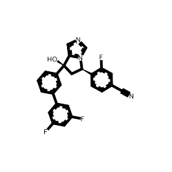 N#Cc1ccc([C@H]2C[C@](O)(c3cccc(-c4cc(F)cc(F)c4)c3)c3cncn32)c(F)c1